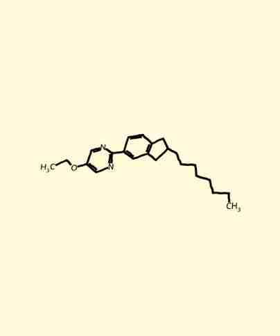 CCCCCCCCC1Cc2ccc(-c3ncc(OCC)cn3)cc2C1